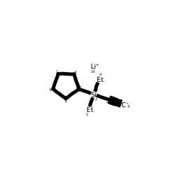 [C-]#C[Si](CC)(CC)C1CCCC1.[Li+]